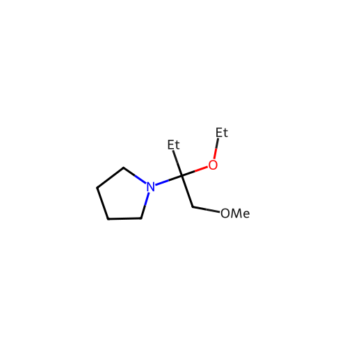 CCOC(CC)(COC)N1CCCC1